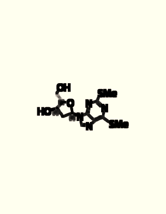 CSc1nc(SC)c2ncn([C@H]3C[C@@H](O)[C@H](CO)O3)c2n1